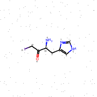 N[C@@H](Cc1c[nH]cn1)C(=O)CI